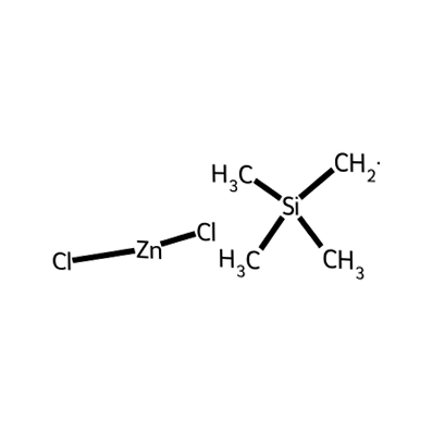 [CH2][Si](C)(C)C.[Cl][Zn][Cl]